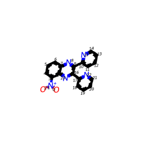 O=[N+]([O-])c1cccc2nc(-c3ccccn3)c(-c3ccccn3)nc12